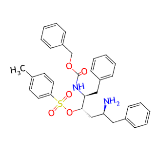 Cc1ccc(S(=O)(=O)O[C@@H](C[C@@H](N)Cc2ccccc2)[C@H](Cc2ccccc2)NC(=O)OCc2ccccc2)cc1